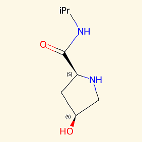 CC(C)NC(=O)[C@@H]1C[C@H](O)CN1